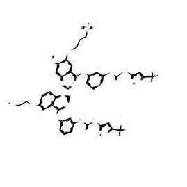 COCCOc1ccc2ncnc(Oc3cccc(NC(=O)Nc4cc(C(C)(C)C)on4)c3)c2c1.COc1cc2ncnc(Sc3cccc(NC(=O)Nc4cc(C(C)(C)C)on4)c3)c2cc1OCCCS(C)(=O)=O